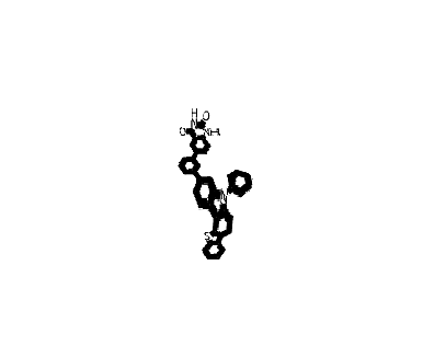 O=c1[nH]c(=O)c2cc(-c3cccc(-c4ccc5c6c7sc8ccccc8c7ccc6n(-c6ccccc6)c5c4)c3)ccc2[nH]1